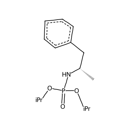 CC(C)OP(=O)(N[C@@H](C)Cc1ccccc1)OC(C)C